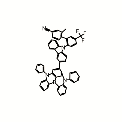 Cc1cc(C#N)ccc1-c1cc(C(F)(F)F)ccc1-n1c2ccccc2c2cc(-c3cc4c5c(c3)N(c3ccccc3)c3ccccc3B5c3ccccc3N4c3ccccc3)ccc21